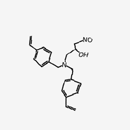 C=Cc1ccc(CN(Cc2ccc(C=C)cc2)CC(O)CN=O)cc1